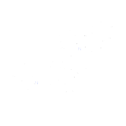 c1ccc(N(c2ccccc2)c2ccc(S(c3ccccc3)(c3ccccc3)c3cccc(N(c4ccccc4)c4ccc5ccccc5c4)c3)cc2)cc1